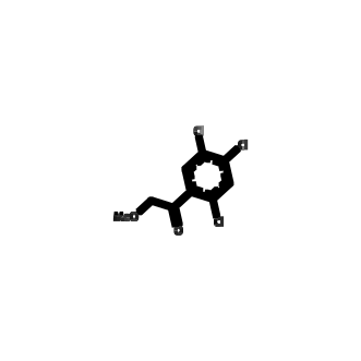 COCC(=O)c1cc(Cl)c(Cl)cc1Cl